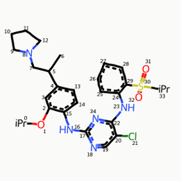 CC(C)Oc1cc(C(C)CN2CCCC2)ccc1Nc1ncc(Cl)c(Nc2ccccc2S(=O)(=O)C(C)C)n1